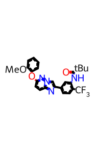 COc1ccccc1Oc1ccc2nc(-c3ccc(C(F)(F)F)c(NC(=O)C(C)(C)C)c3)cn2n1